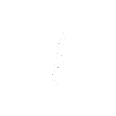 C=CC(=O)O/C=C\Oc1ccc(-c2ccc(-c3ccc(O/C=C\OC)cc3F)cc2)c(F)c1